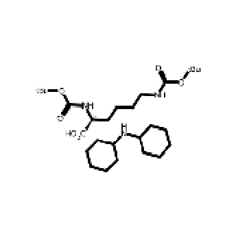 C1CCC(NC2CCCCC2)CC1.CC(C)(C)OC(=O)NCCCC[C@H](NC(=O)OC(C)(C)C)C(=O)O